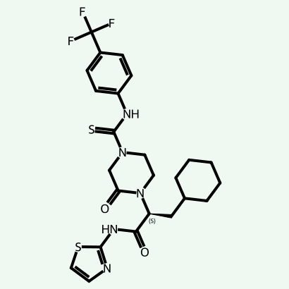 O=C(Nc1nccs1)[C@H](CC1CCCCC1)N1CCN(C(=S)Nc2ccc(C(F)(F)F)cc2)CC1=O